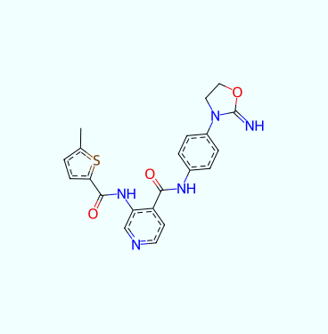 Cc1ccc(C(=O)Nc2cnccc2C(=O)Nc2ccc(N3CCOC3=N)cc2)s1